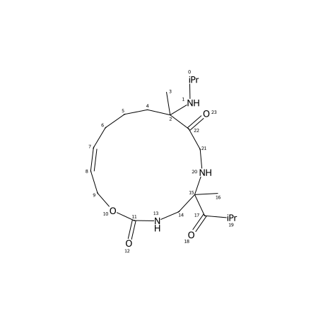 CC(C)NC1(C)CCCC=CCOC(=O)NCC(C)(C(=O)C(C)C)NCC1=O